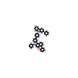 c1ccc(-c2ccc3c4ccccc4n(-c4ccc(-c5ccc6c(c5)c5c7cccc8c7c(cc5n6-c5ccccc5)Oc5ccccc5-8)cc4)c3c2)cc1